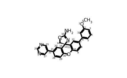 COc1cccc(-c2ccc3c(c2)[C@]2(COC(N)=N2)c2cc(-c4cncnc4)ccc2O3)c1